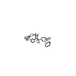 Cn1cnnc1-c1cccc(NC(=O)C2=CC(c3ccccc3)NC=C2)c1